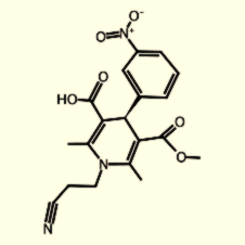 COC(=O)C1=C(C)N(CCC#N)C(C)=C(C(=O)O)[C@H]1c1cccc([N+](=O)[O-])c1